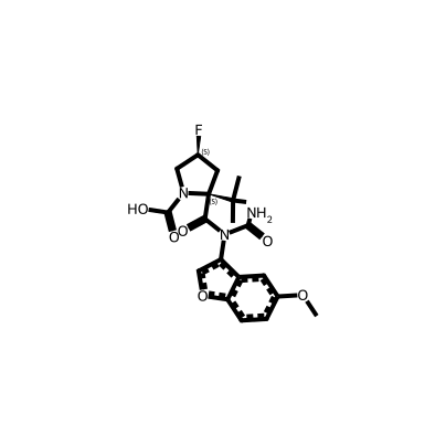 COc1ccc2occ(N(C(N)=O)C(=O)[C@@]3(C(C)(C)C)C[C@H](F)CN3C(=O)O)c2c1